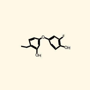 CCc1ccc(Oc2ccc(O)c(F)c2)cc1O